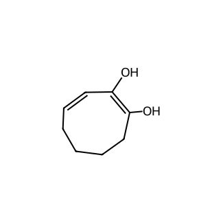 OC1=C(O)CCCCC=C1